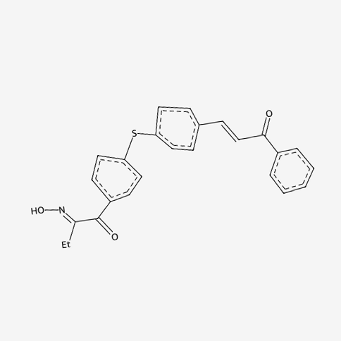 CCC(=NO)C(=O)c1ccc(Sc2ccc(C=CC(=O)c3ccccc3)cc2)cc1